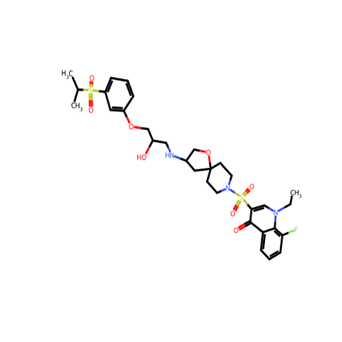 CCn1cc(S(=O)(=O)N2CCC3(CC2)CC(NCC(O)COc2cccc(S(=O)(=O)C(C)C)c2)CO3)c(=O)c2cccc(F)c21